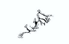 CPCC(=O)NCNC(=O)Nc1nc(=O)cc(C)[nH]1